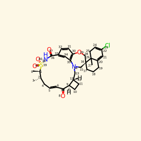 C[C@@H]1[C@@H](C)C/C=C/C(=O)[C@@H]2CC[C@H]2CN2C[C@@]3(CCCC4=CC(Cl)=CCC43C)COc3ccc(cc32)C(=O)NS1(=O)=O